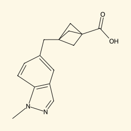 Cn1ncc2cc(CC34CC(C(=O)O)(C3)C4)ccc21